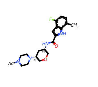 CC(=O)N1CCN([C@H]2COC[C@@H](NC(=O)c3cc4c(F)ccc(C)c4[nH]3)C2)CC1